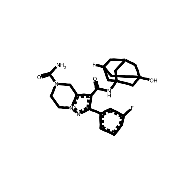 NC(=O)N1CCn2nc(-c3cccc(F)c3)c(C(=O)NC34CC5CC(O)(CC(F)(C5)C3)C4)c2C1